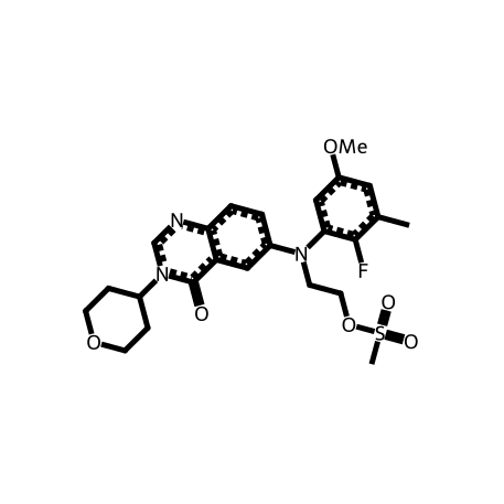 COc1cc(C)c(F)c(N(CCOS(C)(=O)=O)c2ccc3ncn(C4CCOCC4)c(=O)c3c2)c1